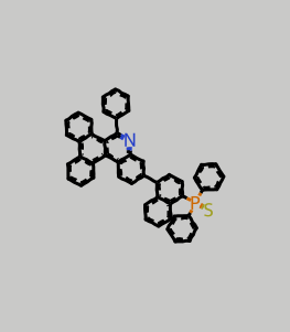 S=P(c1ccccc1)(c1ccccc1)c1ccc(-c2ccc3c(c2)nc(-c2ccccc2)c2c4ccccc4c4ccccc4c32)c2ccccc12